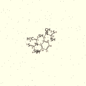 C=C(S)N(C(=S)S)c1c(CN(C)C(=S)S)cccc1C(C)C